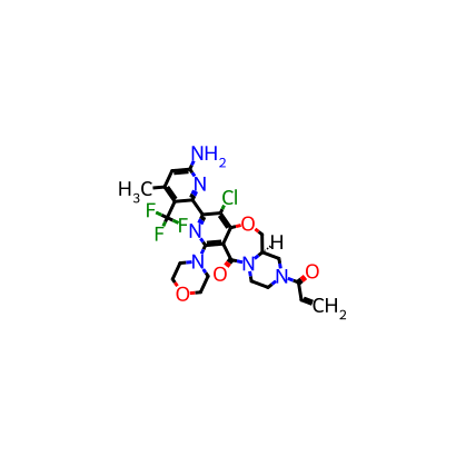 C=CC(=O)N1CCN2C(=O)c3c(N4CCOCC4)nc(-c4nc(N)cc(C)c4C(F)(F)F)c(Cl)c3OC[C@H]2C1